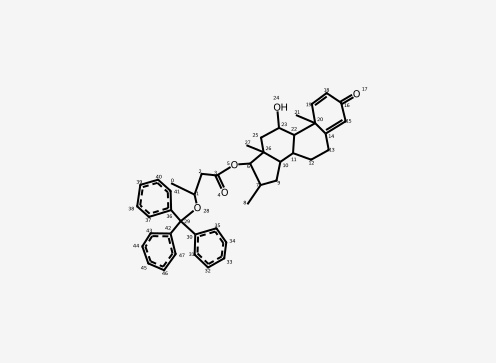 CC(CC(=O)OC1C(C)CC2C3CCC4=CC(=O)C=CC4(C)C3C(O)CC21C)OC(c1ccccc1)(c1ccccc1)c1ccccc1